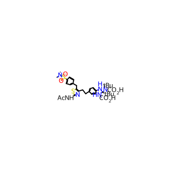 CC(=O)Nc1nc(CCc2ccc(NC(NC(=O)O)(N(C(=O)O)C(C)(C)C)C(C)(C)C)cc2)c(Cc2ccc(S(=O)(=O)N(C)C)cc2)s1